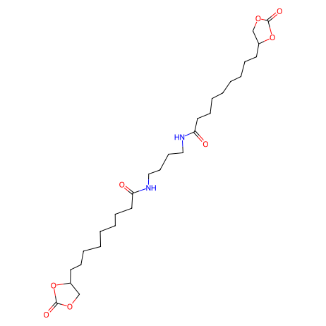 O=C(CCCCCCCCC1COC(=O)O1)NCCCCNC(=O)CCCCCCCCC1COC(=O)O1